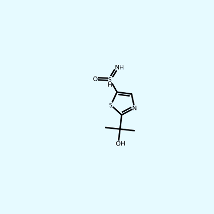 CC(C)(O)c1ncc([SH](=N)=O)s1